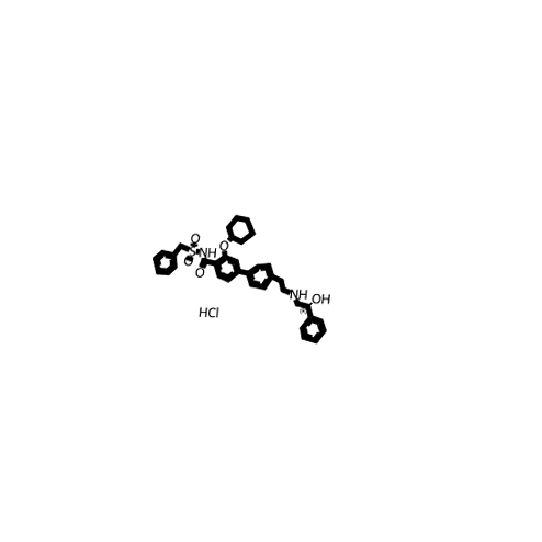 Cl.O=C(NS(=O)(=O)Cc1ccccc1)c1ccc(-c2ccc(CCNC[C@H](O)c3ccccc3)cc2)cc1OC1CCCCC1